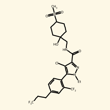 CCn1nc(C(=O)NCC2(O)CCC(S(C)(=O)=O)CC2)c(Cl)c1-c1ccc(CCC(F)(F)F)cc1C(F)(F)F